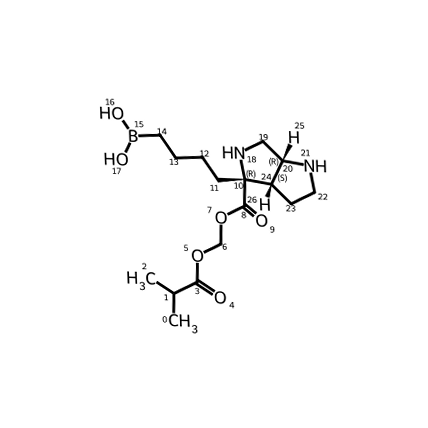 CC(C)C(=O)OCOC(=O)[C@]1(CCCCB(O)O)NC[C@@H]2NCC[C@@H]21